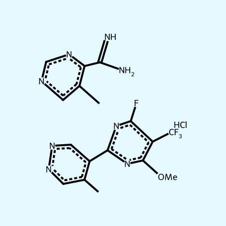 COc1nc(-c2cnncc2C)nc(F)c1C(F)(F)F.Cc1cncnc1C(=N)N.Cl